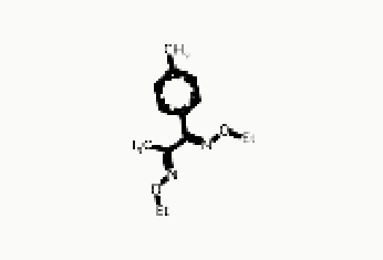 CCO/N=C(C)/C(=N/OCC)c1ccc(C)cc1